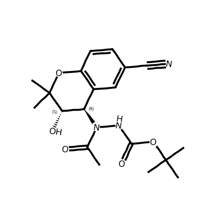 CC(=O)N(NC(=O)OC(C)(C)C)[C@@H]1c2cc(C#N)ccc2OC(C)(C)[C@H]1O